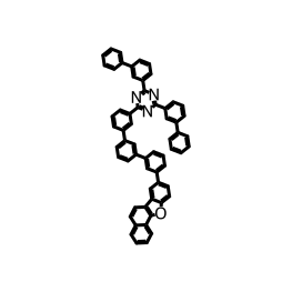 c1ccc(-c2cccc(-c3nc(-c4cccc(-c5ccccc5)c4)nc(-c4cccc(-c5cccc(-c6cccc(-c7ccc8oc9c%10ccccc%10ccc9c8c7)c6)c5)c4)n3)c2)cc1